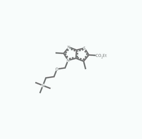 CCOC(=O)c1sc2nc(C)n(COCC[Si](C)(C)C)c2c1C